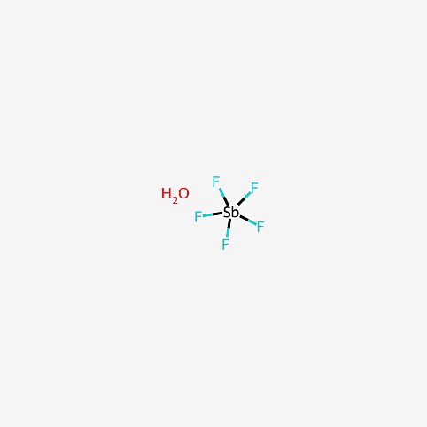 O.[F][Sb]([F])([F])([F])[F]